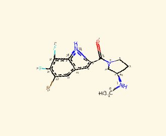 O=C(O)N[C@@H]1CCN(C(=O)c2cc3cc(Br)c(F)c(F)c3[nH]2)C1